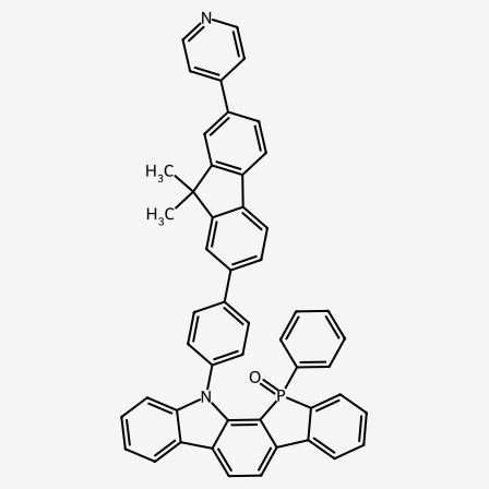 CC1(C)c2cc(-c3ccncc3)ccc2-c2ccc(-c3ccc(-n4c5ccccc5c5ccc6c(c54)P(=O)(c4ccccc4)c4ccccc4-6)cc3)cc21